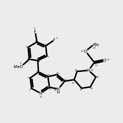 COc1cc(F)c(F)cc1-c1ccnc2[nH]c(C3CCCN(C(=O)OC(C)(C)C)C3)cc12